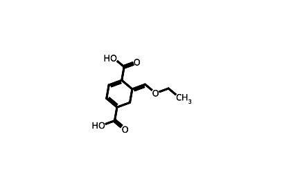 CCOC=C1CC(C(=O)O)=CC=C1C(=O)O